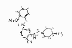 COc1ncccc1CNc1ncc(C#N)c(NC[C@H]2CC[C@H](N)CC2)n1